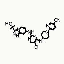 CC(C)(O)c1nnc2cc(Nc3ncc(Cl)c(NC4CCN(c5ccc(C#N)cn5)CC4)n3)ccn12